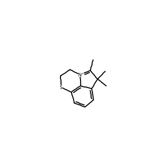 CC1=[N+]2CCSc3cccc(c32)C1(C)C